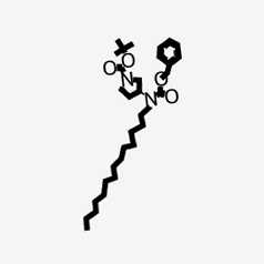 CCCCCCCCCCCCCCCN(C(=O)OCc1ccccc1)[C@@H]1CCN(C(=O)OC(C)(C)C)C1